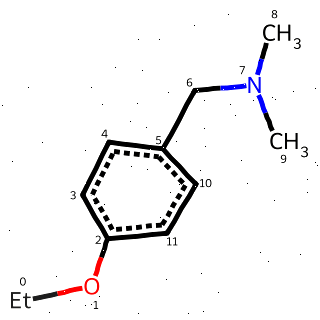 CCOc1ccc(CN(C)C)cc1